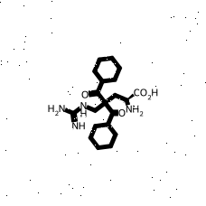 N=C(N)NCC(C[C@H](N)C(=O)O)(C(=O)C1CCCCC1)C(=O)C1CCCCC1